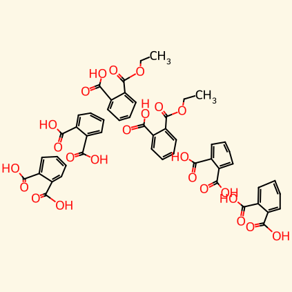 CCOC(=O)c1ccccc1C(=O)O.CCOC(=O)c1ccccc1C(=O)O.O=C(O)c1ccccc1C(=O)O.O=C(O)c1ccccc1C(=O)O.O=C(O)c1ccccc1C(=O)O.O=C(O)c1ccccc1C(=O)O